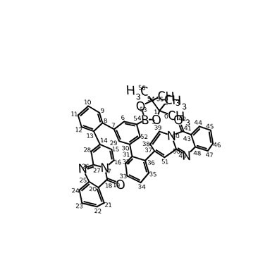 CC1(C)OB(c2cc(-c3ccccc3-c3ccn4c(=O)c5ccccc5nc4c3)cc(-c3ccccc3-c3ccn4c(=O)c5ccccc5nc4c3)c2)OC1(C)C